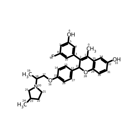 CC1=C(c2cc(O)cc(F)c2)C(c2ccc(OCC(C)N3CCC(C)C3)cc2)Oc2ccc(O)cc21